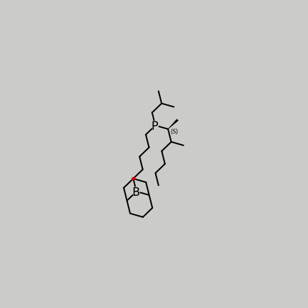 CCCCC(C)[C@H](C)P(CCCCCB1C2CCCC1CCC2)CC(C)C